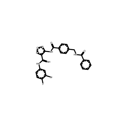 N=C(Nc1ccc(F)c(Br)c1)c1nonc1NC(=O)c1ccc(CNC(=O)c2ccccc2)cc1